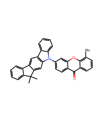 CC(C)(C)c1cccc2c(=O)c3ccc(-n4c5ccccc5c5cc6c(cc54)C(C)(C)c4ccccc4-6)cc3oc12